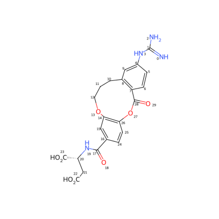 N=C(N)Nc1ccc2c(c1)CCCOc1cc(C(=O)N[C@H](CC(=O)O)C(=O)O)ccc1OC2=O